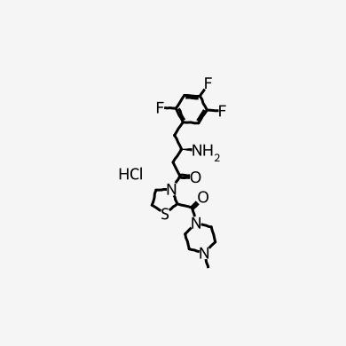 CN1CCN(C(=O)C2SCCN2C(=O)C[C@H](N)Cc2cc(F)c(F)cc2F)CC1.Cl